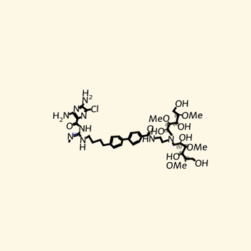 C/N=C(\NCCCCc1ccc(-c2ccc(C(=O)NCCN(C[C@H](O)[C@@H](OC)[C@H](O)[C@@H](CO)OC)C[C@H](O)[C@@H](OC)[C@H](O)[C@@H](CO)OC)cc2)cc1)NC(=O)c1nc(Cl)c(N)nc1N